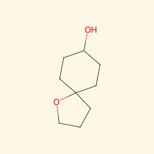 OC1CCC2(CCCO2)CC1